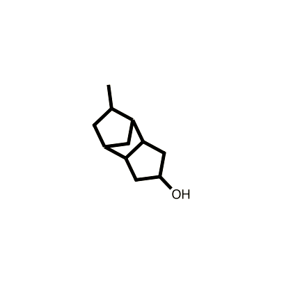 CC1CC2CC1C1CC(O)CC21